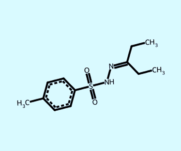 CCC(CC)=NNS(=O)(=O)c1ccc(C)cc1